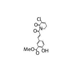 COC(=O)c1cc(C=CC(=O)N2CCC=C(Cl)C2=O)ccc1O